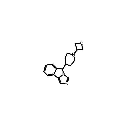 c1ccc2c(c1)-c1cncn1C2C1CCN(C2COC2)CC1